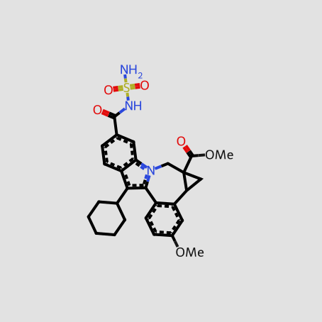 COC(=O)C12CC1c1cc(OC)ccc1-c1c(C3CCCCC3)c3ccc(C(=O)NS(N)(=O)=O)cc3n1C2